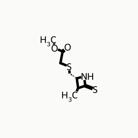 COC(=O)CSC[C@@H]1NC(=S)C1C